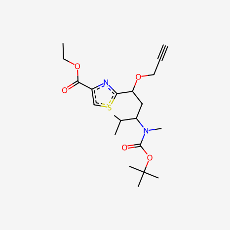 C#CCOC(CC(C(C)C)N(C)C(=O)OC(C)(C)C)c1nc(C(=O)OCC)cs1